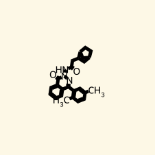 Cc1ccc(C)c(-c2nn(NC(=O)CC3CC4CCC3C4)c(=O)c3ccccc23)c1